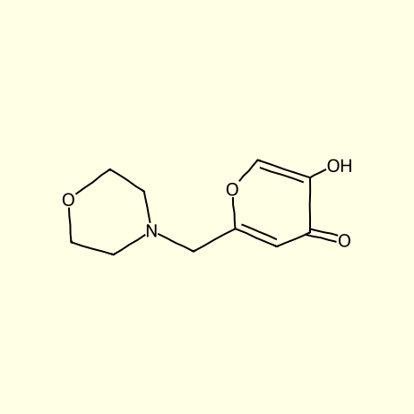 O=c1cc(CN2CCOCC2)occ1O